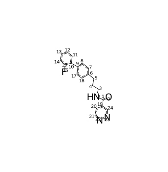 O=C(NCCCc1ccc(-c2ccccc2F)cc1)c1ccnnc1